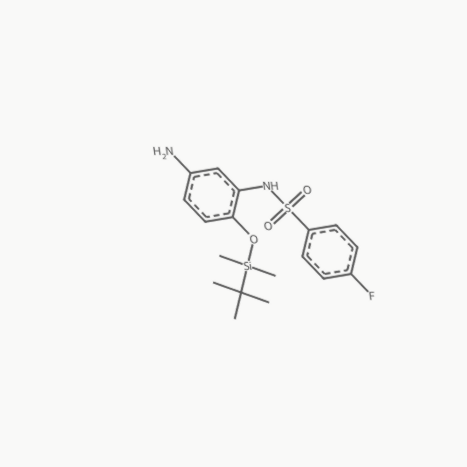 CC(C)(C)[Si](C)(C)Oc1ccc(N)cc1NS(=O)(=O)c1ccc(F)cc1